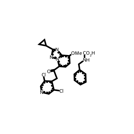 COc1ccc(C(=O)Cc2c(Cl)cncc2Cl)n2nc(C3CC3)nc12.O=C(O)NCc1ccccc1